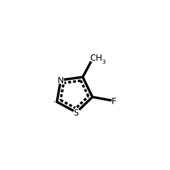 Cc1n[c]sc1F